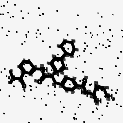 CN(C)C(=O)c1cccc(NC(=O)N(Cc2ccc(C(=O)NC(=N)/N=N\N)cc2)c2ccc(C3CCCCC3)cc2)c1